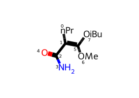 CCCC(C(N)=O)=C(OC)OCC(C)C